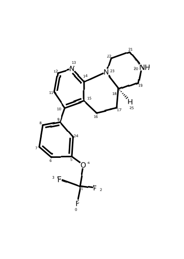 FC(F)(F)Oc1cccc(-c2ccnc3c2CC[C@@H]2CNCCN32)c1